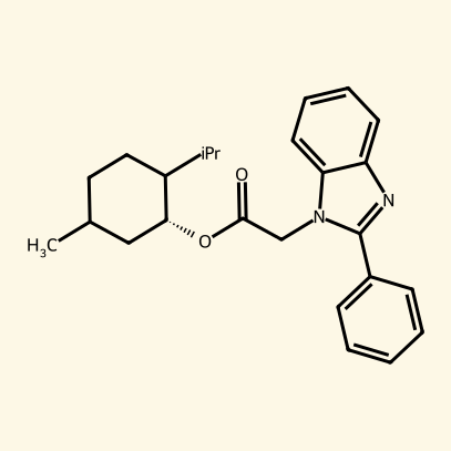 CC1CCC(C(C)C)[C@H](OC(=O)Cn2c(-c3ccccc3)nc3ccccc32)C1